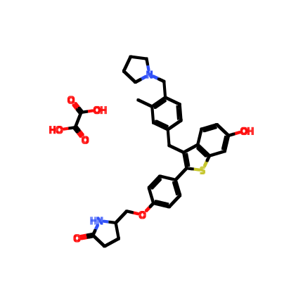 Cc1cc(Cc2c(-c3ccc(OCC4CCC(=O)N4)cc3)sc3cc(O)ccc23)ccc1CN1CCCC1.O=C(O)C(=O)O